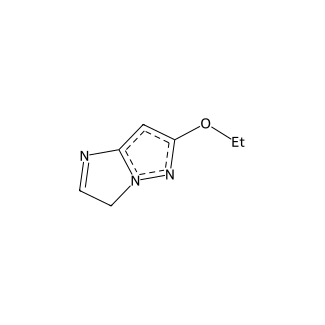 CCOc1cc2n(n1)CC=N2